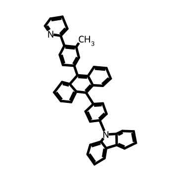 Cc1cc(-c2c3ccccc3c(-c3ccc(-n4c5ccccc5c5ccccc54)cc3)c3ccccc23)ccc1-c1ccccn1